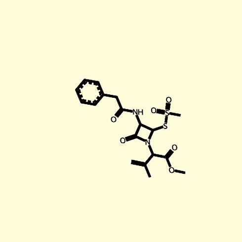 C=C(C)C(C(=O)OC)N1C(=O)C(NC(=O)Cc2ccccc2)C1SS(C)(=O)=O